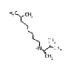 C=C(NCCCCCCC(C)C)C(C)C